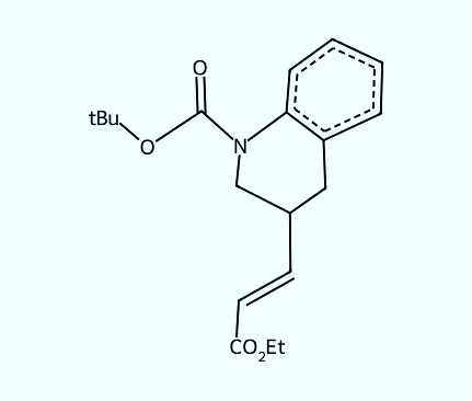 CCOC(=O)/C=C/C1Cc2ccccc2N(C(=O)OC(C)(C)C)C1